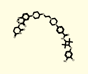 CC1(C)C(NC(=O)c2ccc(N3CCN(CCOC4CCN(c5ccc6nnn(C7CCC(=O)NC7=O)c(=O)c6c5)CC4)CC3)cc2)C(C)(C)C1Oc1ccc(C#N)c(Cl)c1